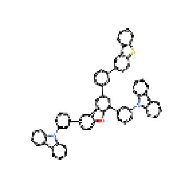 c1cc(-c2ccc3sc4ccccc4c3c2)cc(-c2cc(-c3cccc(-n4c5ccccc5c5ccccc54)c3)c3oc4ccc(-c5cccc(-n6c7ccccc7c7ccccc76)c5)cc4c3c2)c1